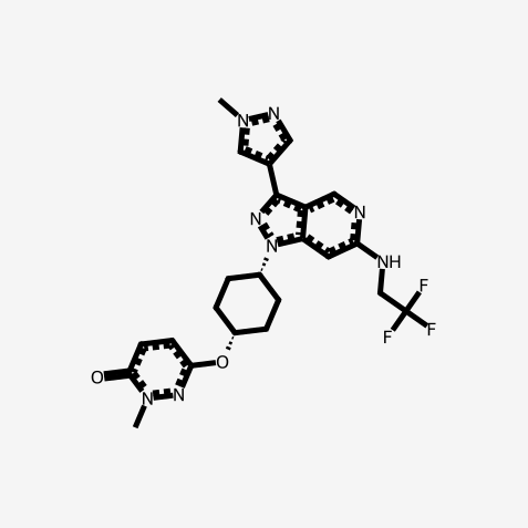 Cn1cc(-c2nn([C@H]3CC[C@@H](Oc4ccc(=O)n(C)n4)CC3)c3cc(NCC(F)(F)F)ncc23)cn1